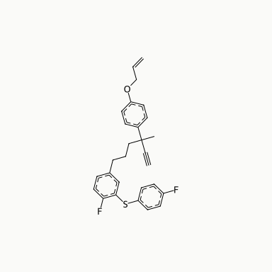 C#CC(C)(CCCc1ccc(F)c(Sc2ccc(F)cc2)c1)c1ccc(OCC=C)cc1